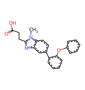 Cn1c(CCC(=O)O)nc2cc(-c3ccccc3Oc3ccccc3)ccc21